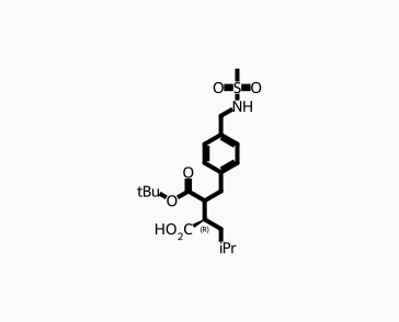 CC(C)C[C@@H](C(=O)O)C(Cc1ccc(CNS(C)(=O)=O)cc1)C(=O)OC(C)(C)C